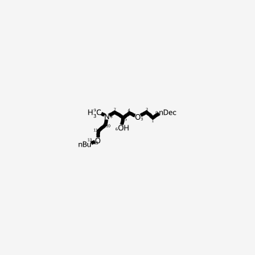 CCCCCCCCCCCCOCC(O)CN(C)CCOCCCC